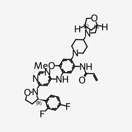 C=CC(=O)Nc1cc(Nc2cc(N3OCC[C@@H]3c3ccc(F)cc3F)ncn2)c(OC)cc1N1CCC(N2C[C@@H]3C[C@H]2CO3)CC1